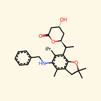 Cc1c2c(c(C(C)[C@@H]3C[C@@H](O)CC(=O)O3)c(C(C)C)c1NCc1ccccc1)OC(C)(C)C2